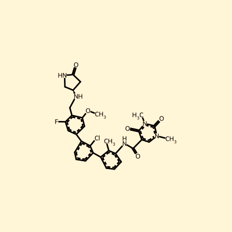 COc1cc(-c2cccc(-c3cccc(NC(=O)c4cn(C)c(=O)n(C)c4=O)c3C)c2Cl)cc(F)c1CN[C@H]1CNC(=O)C1